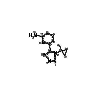 CC1(n2nnnc2-c2cccc(N)n2)CC1